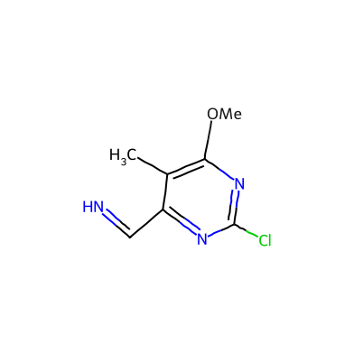 COc1nc(Cl)nc(C=N)c1C